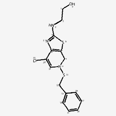 OCCNc1nc2c(s1)CN(SCc1ccccc1)C=C2Cl